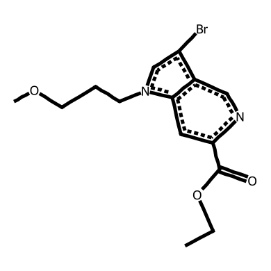 CCOC(=O)c1cc2c(cn1)c(Br)cn2CCCOC